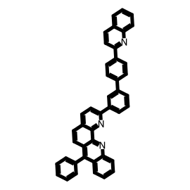 c1ccc(-c2c3ccccc3nc3c2ccc2ccc(-c4cccc(-c5ccc(-c6ccc7ccccc7n6)cc5)c4)nc23)cc1